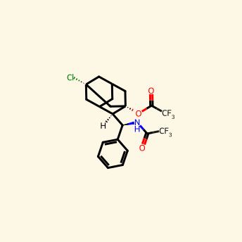 O=C(N[C@@H](c1ccccc1)[C@H]1C2CC3C[C@](Cl)(C2)C[C@@]1(OC(=O)C(F)(F)F)C3)C(F)(F)F